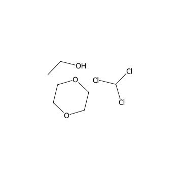 C1COCCO1.CCO.ClC(Cl)Cl